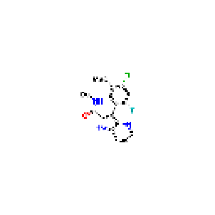 CCC(C)NC(=O)c1[nH]c2cccnc2c1-c1cc(OC)c(Cl)cc1F